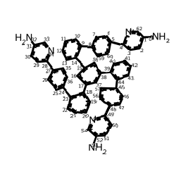 Nc1ccc(-c2ccc(-c3ccccc3-c3cc(-c4ccccc4-c4ccc(-c5ccc(N)cn5)cc4)cc(-c4ccccc4-c4ccc(-c5ccc(N)cn5)cc4)c3)cc2)nc1